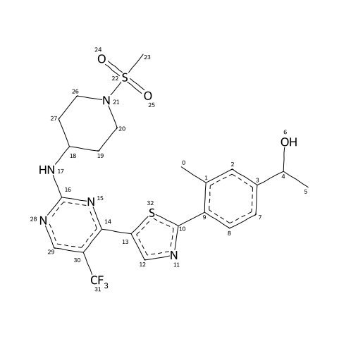 Cc1cc(C(C)O)ccc1-c1ncc(-c2nc(NC3CCN(S(C)(=O)=O)CC3)ncc2C(F)(F)F)s1